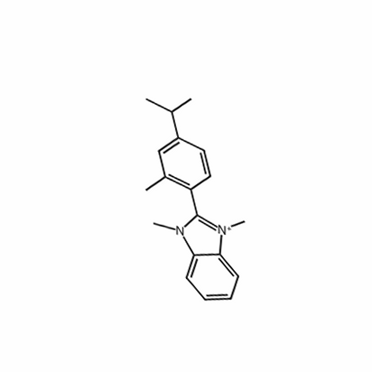 Cc1cc(C(C)C)ccc1-c1n(C)c2ccccc2[n+]1C